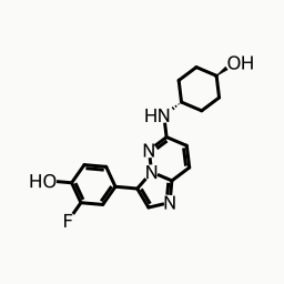 Oc1ccc(-c2cnc3ccc(N[C@H]4CC[C@H](O)CC4)nn23)cc1F